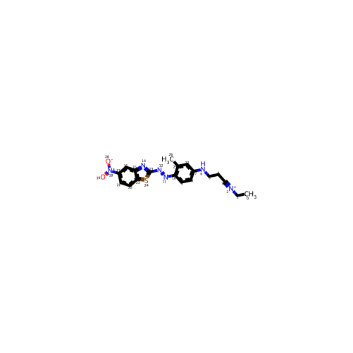 CC[N+]#CCCNc1ccc(N=Nc2nc3cc([N+](=O)[O-])ccc3s2)c(C)c1